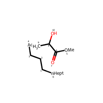 CCCCCCCCCCC(C)=O.COC(=O)C(C)O